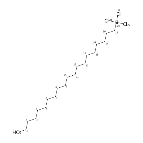 OCCCCCCCCCCCCCCCCCCC[Si](Cl)(Cl)Cl